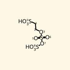 O=S(=O)(O)CCOS(=O)(=O)OS(=O)(=O)O